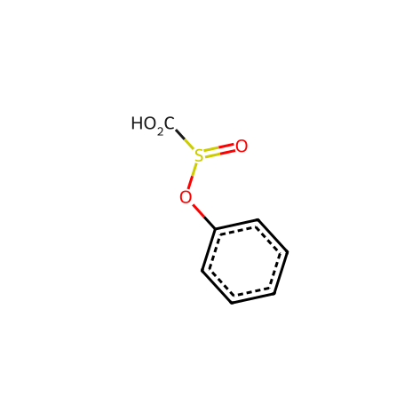 O=C(O)S(=O)Oc1ccccc1